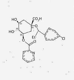 CCC(O[C@@]1(C(=O)O)C[C@H](O)[C@@H](O)[C@H](OC(=O)c2ccccn2)C1)c1ccc(Cl)cc1